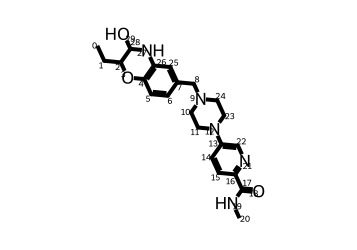 CCC1Oc2ccc(CN3CCN(c4ccc(C(=O)NC)nc4)CC3)cc2NC1O